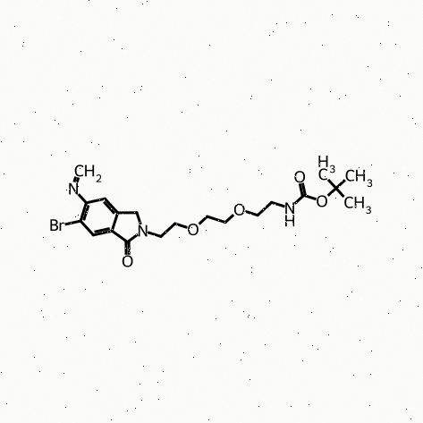 C=Nc1cc2c(cc1Br)C(=O)N(CCOCCOCCNC(=O)OC(C)(C)C)C2